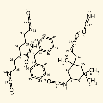 CC1(C)CC(N=C=O)CC(C)(CN=C=O)C1.N=C=O.N=C=O.O=C=NCCCCCCN=C=O.c1ccc(Cc2ccccc2)cc1